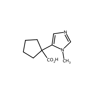 Cn1cncc1C1(C(=O)O)CCCC1